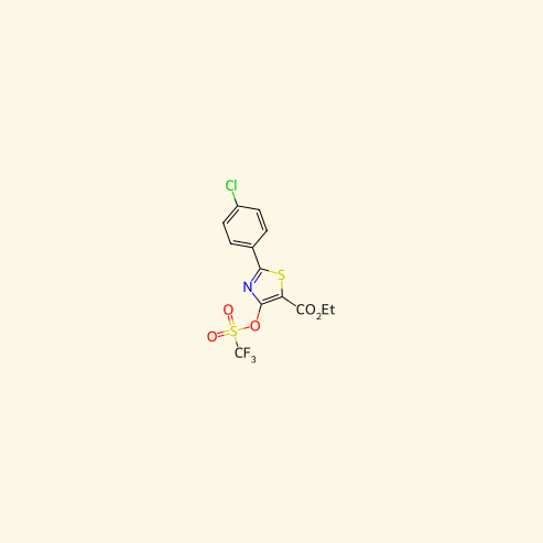 CCOC(=O)c1sc(-c2ccc(Cl)cc2)nc1OS(=O)(=O)C(F)(F)F